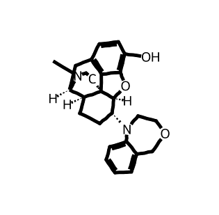 CN1CC[C@]23c4c5ccc(O)c4O[C@H]2[C@H](N2CCOCc4ccccc42)CC[C@H]3[C@H]1C5